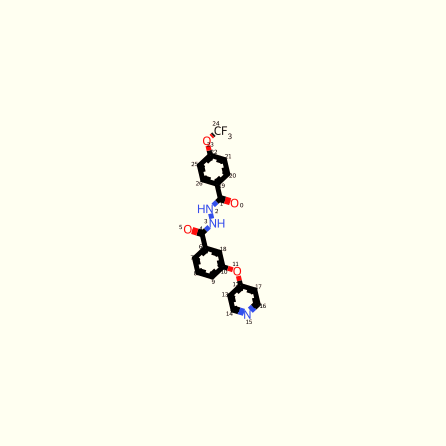 O=C(NNC(=O)c1cccc(Oc2ccncc2)c1)c1ccc(OC(F)(F)F)cc1